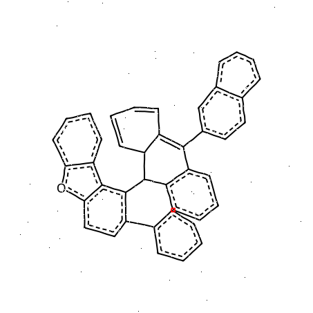 C1=CC2=C(c3ccc4ccccc4c3)c3ccccc3C(c3c(-c4ccccc4)ccc4oc5ccccc5c34)C2C=C1